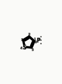 [P].c1ccsc1